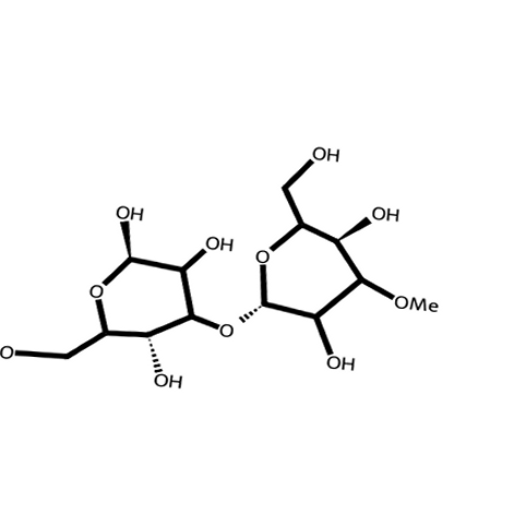 COC1C(O)[C@H](OC2C(O)[C@H](O)OC(CO)[C@H]2O)OC(CO)[C@H]1O